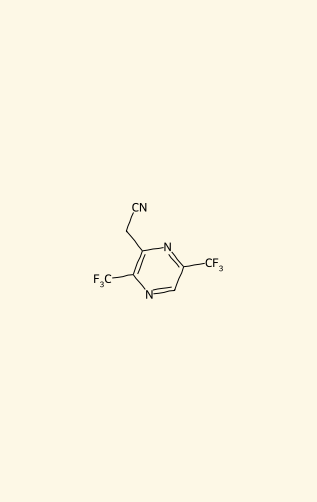 N#CCc1nc(C(F)(F)F)cnc1C(F)(F)F